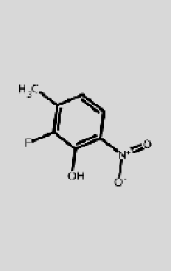 Cc1ccc([N+](=O)[O-])c(O)c1F